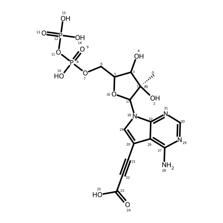 C[C@@]1(O)C(O)C(COP(=O)(O)OP(=O)(O)O)OC1n1cc(C#CC(=O)O)c2c(N)ncnc21